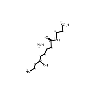 O=C(CCCCC(S)CCS)NCCS(=O)(=O)O.[NaH]